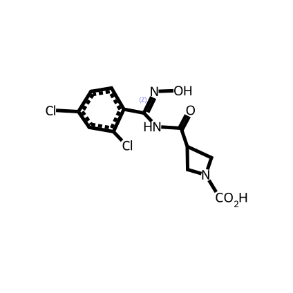 O=C(N/C(=N\O)c1ccc(Cl)cc1Cl)C1CN(C(=O)O)C1